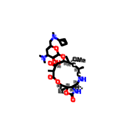 CC[C@H]1OC(=O)C(C)C(=O)[C@H](C)[C@@H](OC2OC(CN(C)C34CC(C3)C4)CC(N(C)C)C2O)[C@](C)(OC)C[C@@H](C)CN[C@H](C)[C@H]2NC(=O)O[C@@]21C